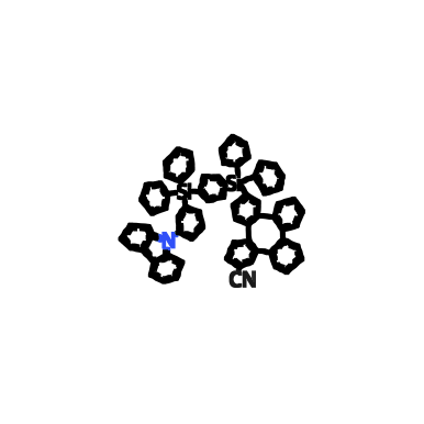 N#Cc1ccc2c(c1)-c1ccccc1-c1ccccc1-c1cc([Si](c3ccccc3)(c3ccccc3)c3ccc([Si](c4ccccc4)(c4ccccc4)c4cccc(-n5c6ccccc6c6ccccc65)c4)cc3)ccc1-2